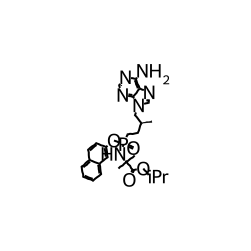 CC(C)OC(=O)C(C)(C)NP(=O)(CC[C@H](C)Cn1cnc2c(N)ncnc21)Oc1ccc2ccccc2c1